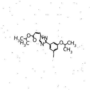 CC(C)OC(=O)/C=C\n1cnc(-c2cc(I)cc(OC(C)C)c2)n1